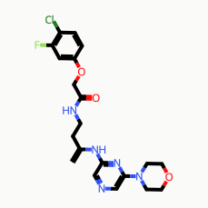 C=C(CCNC(=O)COc1ccc(Cl)c(F)c1)Nc1cncc(N2CCOCC2)n1